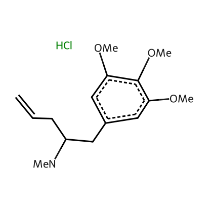 C=CCC(Cc1cc(OC)c(OC)c(OC)c1)NC.Cl